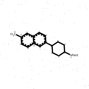 CCCCCC1CCC(c2ccc3cc(C)ccc3c2)CC1